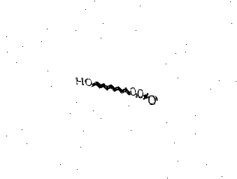 COCCOCOCCCCCCCC/C=C/CO